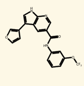 O=C(Nc1cccc(OC(F)(F)F)c1)c1cnc2[nH]cc(-c3ccoc3)c2c1